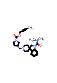 CC#CCOC(=O)N1CC[C@H](CN2CCC3(CC2)CN(C(=O)N(C)C)c2ccccc23)C1